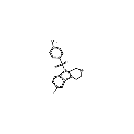 Cc1ccc(S(=O)(=O)n2c3c(c4cc(F)ccc42)CCNC3)cc1